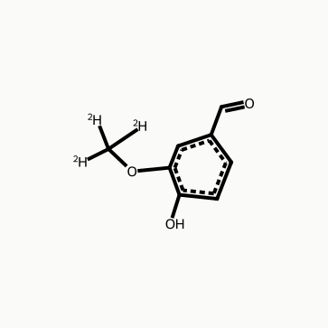 [2H]C([2H])([2H])Oc1cc(C=O)ccc1O